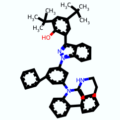 CC(C)(C)c1cc(-c2nn(-c3cc(-c4ccccc4)cc(N(C4=CCCCN4)c4ccccc4-c4ccccc4)c3)c3ccccc23)c(O)c(C(C)(C)C)c1